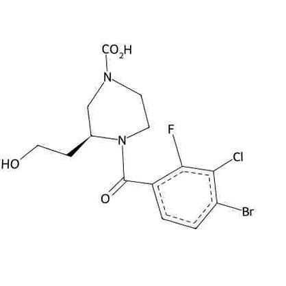 O=C(O)N1CCN(C(=O)c2ccc(Br)c(Cl)c2F)[C@@H](CCO)C1